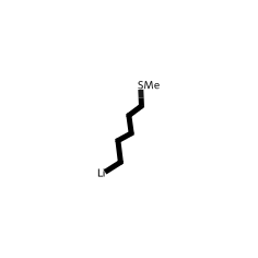 [Li][CH2]CCCCSC